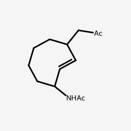 CC(=O)CC1/C=C/C(NC(C)=O)CCCC1